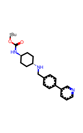 CC(C)(C)OC(=O)N[C@H]1CC[C@H](NCc2ccc(-c3cccnc3)cc2)CC1